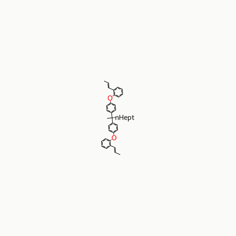 CC=Cc1ccccc1Oc1ccc(C(C)(CCCCCCC)c2ccc(Oc3ccccc3C=CC)cc2)cc1